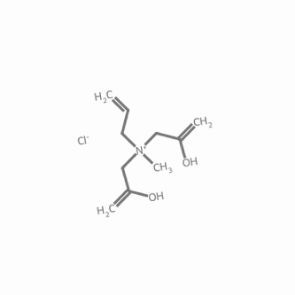 C=CC[N+](C)(CC(=C)O)CC(=C)O.[Cl-]